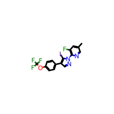 Cc1cnc(-n2ncc(-c3ccc(OC(F)(F)F)cc3)c2I)c(F)c1